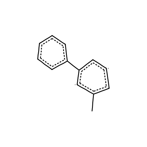 Cc1[c]c(-c2ccccc2)c[c]c1